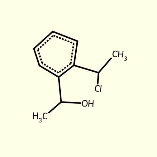 CC(O)c1ccccc1C(C)Cl